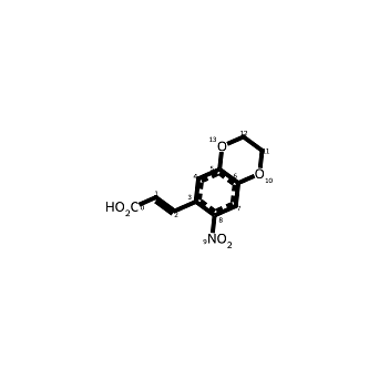 O=C(O)C=Cc1cc2c(cc1[N+](=O)[O-])OCCO2